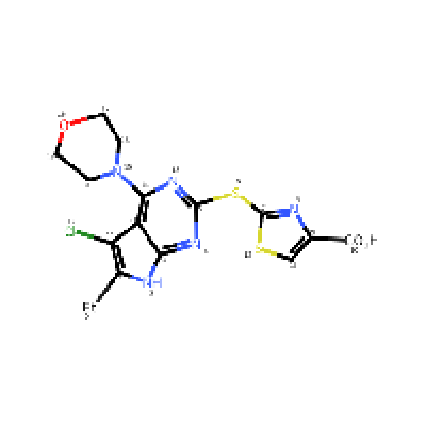 CCc1[nH]c2nc(Sc3nc(C(=O)O)cs3)nc(N3CCOCC3)c2c1Cl